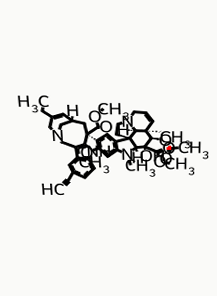 C#Cc1ccc2[nH]c3c(c2c1)CN1CC(CC)=C[C@@H](C1)C[C@]3(C(=O)OC)c1cc2c(cc1OC)N(C)[C@H]1[C@@](O)(C(=O)OC)[C@H](OC(C)=O)[C@]3(CC)C=CCN4CC[C@]21[C@@H]43